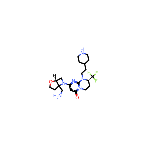 NCC12CCO[C@@H]1CN2c1cc(=O)n2c(n1)N(CCC1CCNCC1)[C@H](C(F)(F)F)CC2